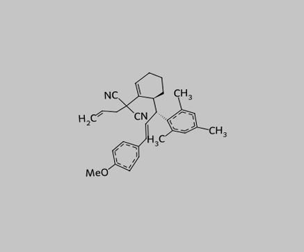 C=CCC(C#N)(C#N)C1=CCCC[C@H]1[C@@H](/C=C/c1ccc(OC)cc1)c1c(C)cc(C)cc1C